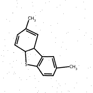 CC1=CC2c3cc(C)ccc3SC2C=C1